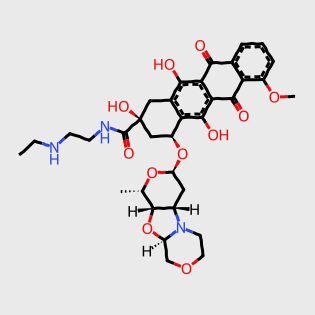 CCNCCNC(=O)[C@]1(O)Cc2c(O)c3c(c(O)c2[C@@H](O[C@H]2C[C@H]4[C@H](O[C@@H]5COCCN54)[C@H](C)O2)C1)C(=O)c1c(OC)cccc1C3=O